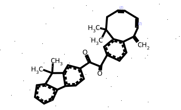 C=C1/C=C\C=C/CC(C)(C)c2cc(C(=O)C(=O)c3ccc4c(c3)C(C)(C)c3ccccc3-4)ccc21